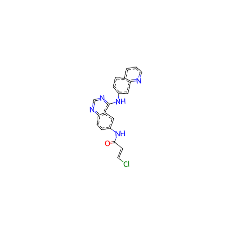 O=C(C=CCl)Nc1ccc2ncnc(Nc3ccc4cccnc4c3)c2c1